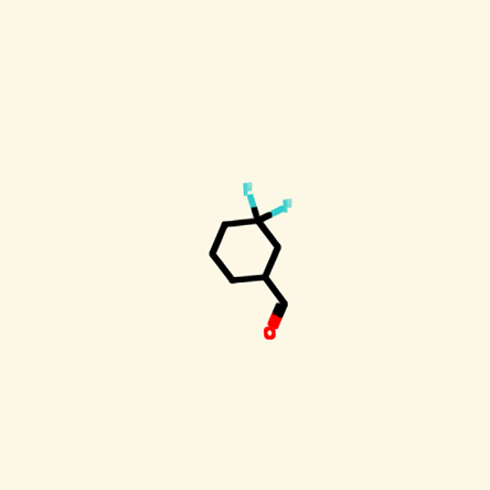 O=CC1CCCC(F)(F)C1